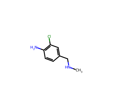 CNCc1ccc(N)c(Cl)c1